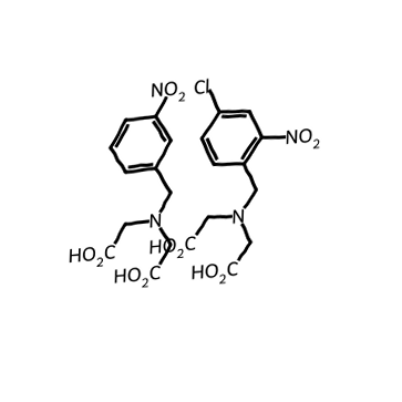 O=C(O)CN(CC(=O)O)Cc1ccc(Cl)cc1[N+](=O)[O-].O=C(O)CN(CC(=O)O)Cc1cccc([N+](=O)[O-])c1